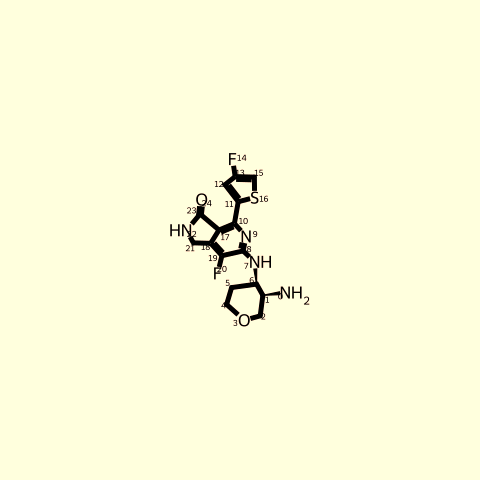 N[C@H]1COCC[C@H]1Nc1nc(-c2cc(F)cs2)c2c(c1F)CNC2=O